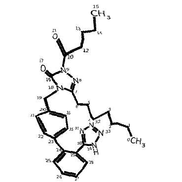 CCCCCCCc1nn(C(=O)CCCC)c(=O)n1Cc1ccc(-c2ccccc2-c2nnn[nH]2)cc1